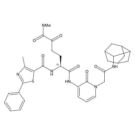 CNC(=O)C(=O)CC[C@H](NC(=O)c1sc(-c2ccccc2)nc1C)C(=O)Nc1cccn(CC(=O)NC2C3CC4CC(C3)C2C4)c1=O